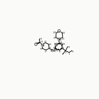 CCC(C)(C)c1cc(NC2CCN(C(C)=O)CC2)nc(N2CCOCC2)c1